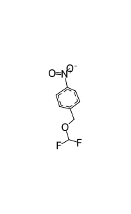 O=[N+]([O-])c1ccc(COC(F)F)cc1